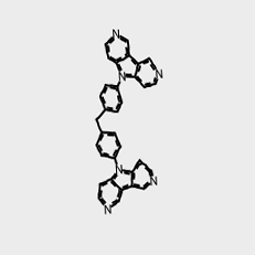 c1cc2c(cn1)c1cnccc1n2-c1ccc(Cc2ccc(-n3c4ccncc4c4cnccc43)cc2)cc1